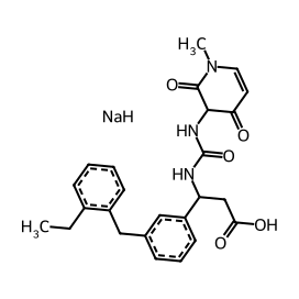 CCc1ccccc1Cc1cccc(C(CC(=O)O)NC(=O)NC2C(=O)C=CN(C)C2=O)c1.[NaH]